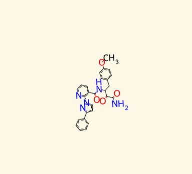 COc1ccc(CC(NC(=O)c2cccnc2-n2ccc(-c3ccccc3)n2)C(=O)C(N)=O)cc1